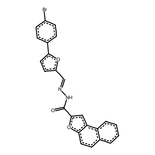 O=C(NN=Cc1ccc(-c2ccc(Br)cc2)o1)c1cc2c(ccc3ccccc32)o1